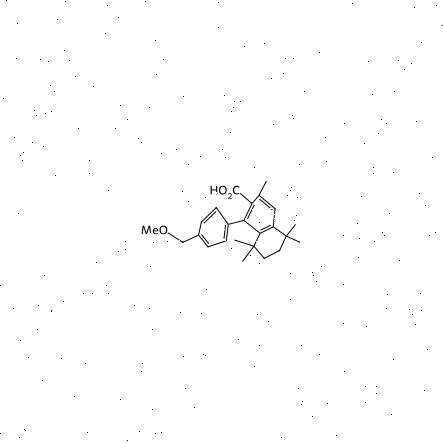 COCc1ccc(-c2c(C(=O)O)c(C)cc3c2C(C)(C)CCC3(C)C)cc1